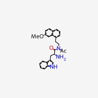 COc1ccc2cccc(CCN(C(C)=O)C(=O)C(N)Cc3c[nH]c4ccccc34)c2c1